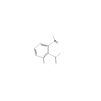 CCCC(CCC)c1c(C)cccc1C(N)=O